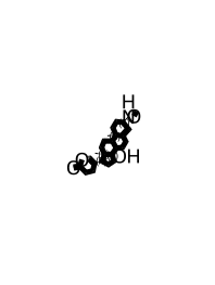 CON[C@@H]1C=C2CCC3C(CC[C@]4(C)[C@@H](C5=COC(=O)CC5)CC[C@]34O)[C@@]2(C)CC1